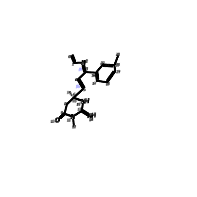 C=C/N=C(\C=C\[C@]1(C)CC(=O)N(C)C(=N)N1)c1cccc(C)c1